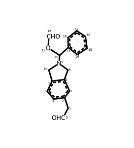 O=CCc1ccc2c(c1)CN(C(OC=O)c1ccccc1)C2